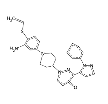 C=CSc1ccc(N2CCC(n3ccc(=O)c(-c4ccnn4-c4ccccc4)n3)CC2)cc1N